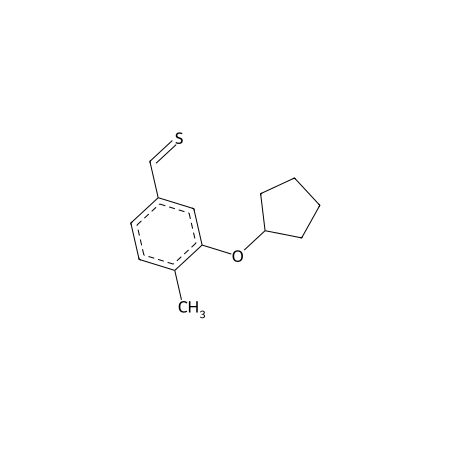 Cc1ccc(C=S)cc1OC1CCCC1